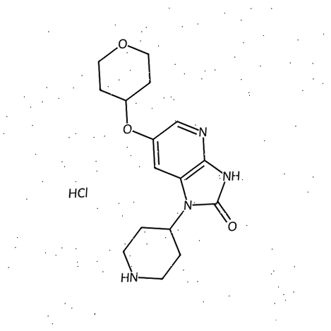 Cl.O=c1[nH]c2ncc(OC3CCOCC3)cc2n1C1CCNCC1